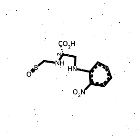 O=BCN[C@@H](CNc1ccccc1[N+](=O)[O-])C(=O)O